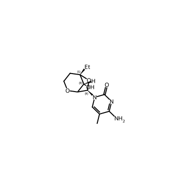 CC[C@@]12CCOC([C@H](n3cc(C)c(N)nc3=O)O1)[C@H]2O